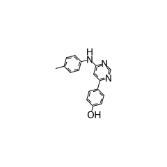 Cc1ccc(Nc2cc(-c3ccc(O)cc3)ncn2)cc1